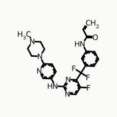 C=CC(=O)Nc1cccc(C(F)(F)c2nc(Nc3ccc(N4CCN(C)CC4)nc3)ncc2F)c1